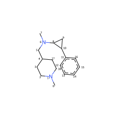 CN1CCC(CN(C)C2CC2c2ccccc2)CC1